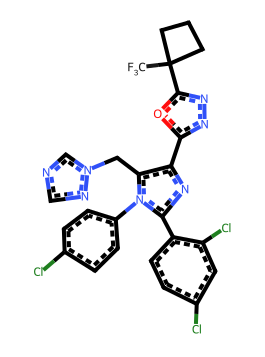 FC(F)(F)C1(c2nnc(-c3nc(-c4ccc(Cl)cc4Cl)n(-c4ccc(Cl)cc4)c3Cn3cncn3)o2)CCC1